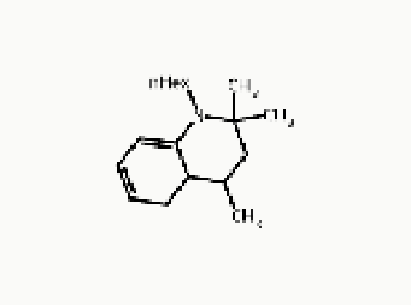 CCCCCCN1C2=CC=CCC2C(C)CC1(C)C